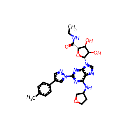 CCNC(=O)[C@H]1O[C@@H](n2cnc3c(NC4CCOC4)nc(-n4cc(-c5ccc(C)cc5)cn4)nc32)[C@H](O)[C@@H]1O